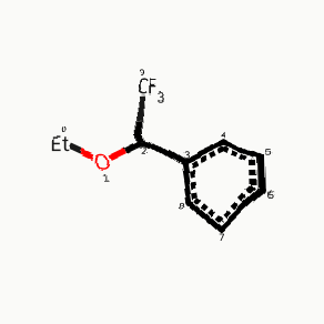 CCO[C](c1ccccc1)C(F)(F)F